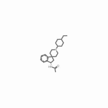 CCC1CCC(N2CCC3(CC2)C[C@H](NC(C)=O)c2ccccc23)CC1